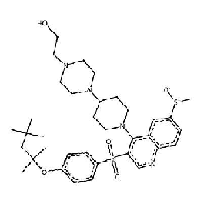 C[S+]([O-])c1ccc2ncc(S(=O)(=O)c3ccc(OC(C)(C)CC(C)(C)C)cc3)c(N3CCC(N4CCN(CCO)CC4)CC3)c2c1